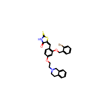 O=C1NC(=S)SC1=Cc1ccc(OCCN2CCc3ccccc3C2)cc1OCc1ccccc1Br